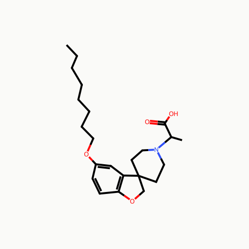 CCCCCCCCOc1ccc2c(c1)C1(CCN(C(C)C(=O)O)CC1)CO2